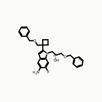 Nc1cc2cc(C3(COCc4ccccc4)CCC3)n(C[C@@H](O)COCc3ccccc3)c2cc1F